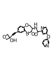 CN1C(=O)C(NC(=O)c2cc(Oc3cccnc3)ccn2)COc2ccc(C#CC3(O)COC3)cc21